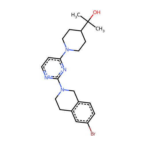 CC(C)(O)C1CCN(c2ccnc(N3CCc4cc(Br)ccc4C3)n2)CC1